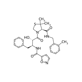 Cc1ccccc1CNC(=O)[C@H]1N(C(=O)[C@@H](O)[C@H](Cc2ccccc2)NC(=O)c2ccno2)CSC1(C)C